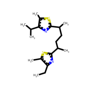 CCc1nc(C(C)CCC(C)c2nc(C(C)C)c(C)s2)sc1C